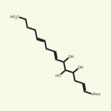 CCCCCC=CCC(O)C(O)C(O)C=CCC=CCCCC(=O)O